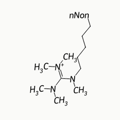 CCCCCCCCCCCCCCN(C)C(N(C)C)=[N+](C)C